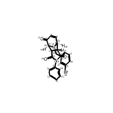 O=C1C=C[C@H]2[C@@H]3C(=O)N(c4ccccc4)C(=O)C3[C@@H]1N2Cc1cccc(Br)c1